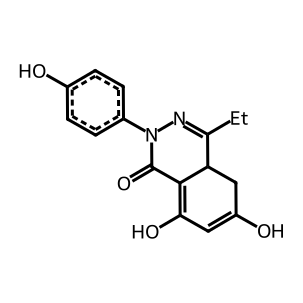 CCC1=NN(c2ccc(O)cc2)C(=O)C2=C(O)C=C(O)CC12